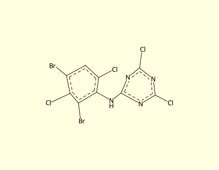 Clc1nc(Cl)nc(Nc2c(Cl)cc(Br)c(Cl)c2Br)n1